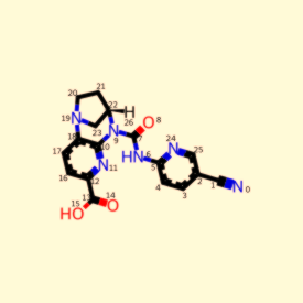 N#Cc1ccc(NC(=O)N2c3nc(C(=O)O)ccc3N3CC[C@H]2C3)nc1